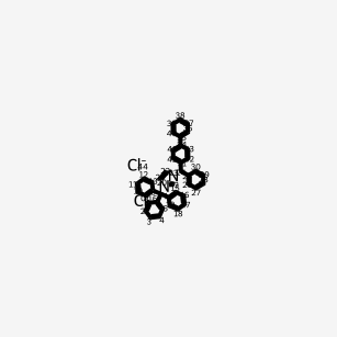 Clc1ccccc1C(c1ccccc1)(c1ccccc1)n1cc[n+](C(c2ccccc2)c2ccc(-c3ccccc3)cc2)c1.[Cl-]